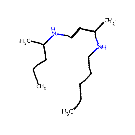 [CH2]C(CCNC(C)CCC)NCCCCC